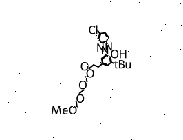 COCCOCCOCCOC(=O)CCc1cc(-n2nc3ccc(Cl)cc3n2)c(O)c(C(C)(C)C)c1